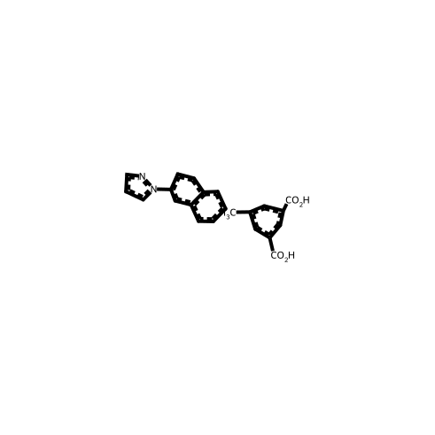 Cc1cc(C(=O)O)cc(C(=O)O)c1.c1ccc2cc(-n3cccn3)ccc2c1